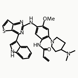 C=CC(=O)Nc1cc(Nc2nc(-c3c[nH]c4ccccc34)c3sccc3n2)c(OC)cc1N1CCC(N(C)C)CC1